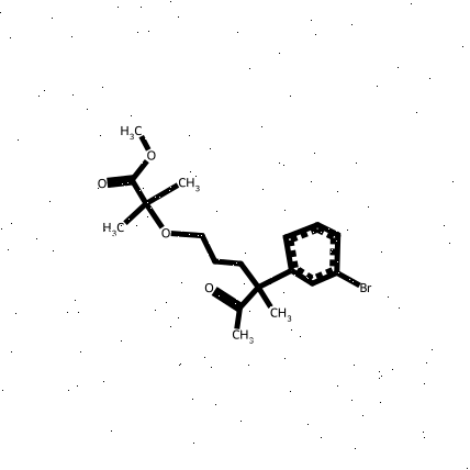 COC(=O)C(C)(C)OCCCC(C)(C(C)=O)c1cccc(Br)c1